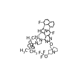 C#Cc1c(F)ccc2cccc(-c3nc4c5c(nc(OCC67CCCN6C[C@@H](OC(F)(F)F)C7)nc5c3F)N3CCN(C(=O)OC(C)(C)C)[C@@H](C)[C@H]3CC4)c12